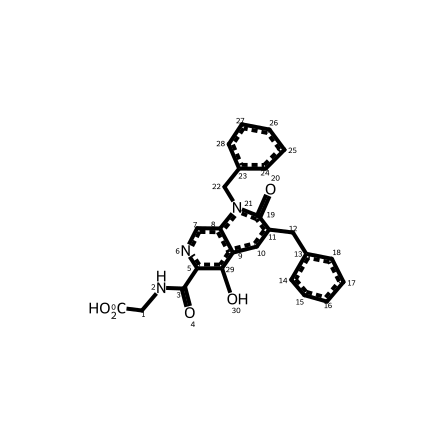 O=C(O)CNC(=O)c1ncc2c(cc(Cc3ccccc3)c(=O)n2Cc2ccccc2)c1O